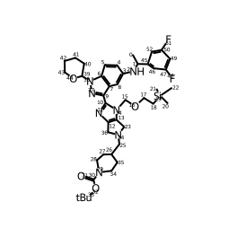 CC(Nc1ccc2c(c1)c(-c1nc3c(n1COCC[Si](C)(C)C)CN(CC1CCN(C(=O)OC(C)(C)C)CC1)C3)nn2C1CCCCO1)c1cc(F)cc(F)c1